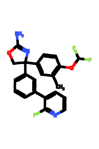 Cc1cc(C2(c3cccc(-c4cccnc4F)c3)COC(N)=N2)ccc1OC(F)F